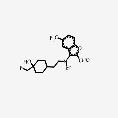 CCN(CCC1CCC(O)(CF)CC1)c1c(C=O)oc2ccc(C(F)(F)F)cc12